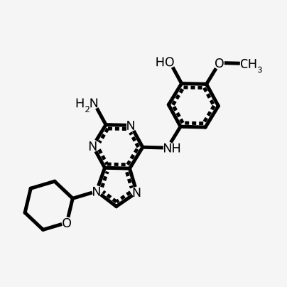 COc1ccc(Nc2nc(N)nc3c2ncn3C2CCCCO2)cc1O